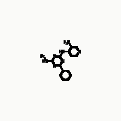 CC(C)Nc1nc(Nc2ccncc2C(F)(F)F)nc(-c2ccccc2)n1